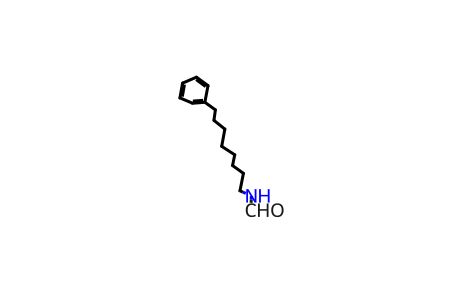 O=CNCCCCCCCCc1ccccc1